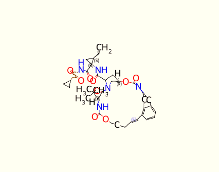 C=C[C@@H]1C[C@]1(NC(=O)C1C[C@@H]2CN1C(=O)[C@H](C(C)(C)C)NC(=O)OCCC/C=C/c1cccc3c1CCN(C3)C(=O)O2)C(=O)NS(=O)(=O)C1CC1